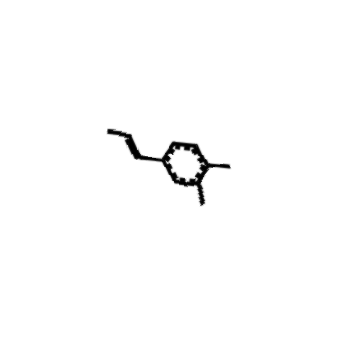 C/C=C/c1ccc(C)c(C)c1